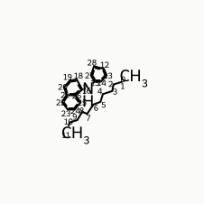 CCCCCCCCCCCC.c1ccc(Nc2cccc3ccccc23)cc1